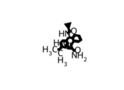 CC(C)c1ccc(C(NC(=O)C2CC2)c2ccccc2C2C(C(N)=O)CN2C)cc1